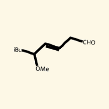 CCC(C)C(C=CCC=O)OC